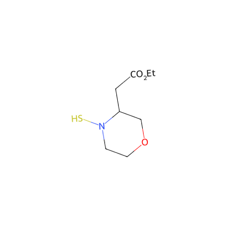 CCOC(=O)CC1COCCN1S